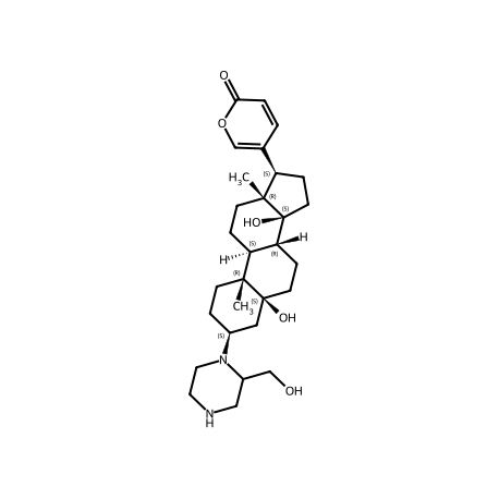 C[C@]12CC[C@H](N3CCNCC3CO)C[C@@]1(O)CC[C@@H]1[C@@H]2CC[C@]2(C)[C@@H](c3ccc(=O)oc3)CC[C@]12O